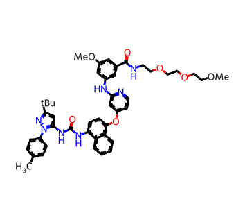 COCCOCCOCCNC(=O)c1cc(Nc2cc(Oc3ccc(NC(=O)Nc4cc(C(C)(C)C)nn4-c4ccc(C)cc4)c4ccccc34)ccn2)cc(OC)c1